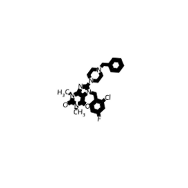 Cn1c(=O)c2c(nc(N3CCN(Cc4ccccc4)CC3)n2Cc2ccc(F)cc2Cl)n(C)c1=O